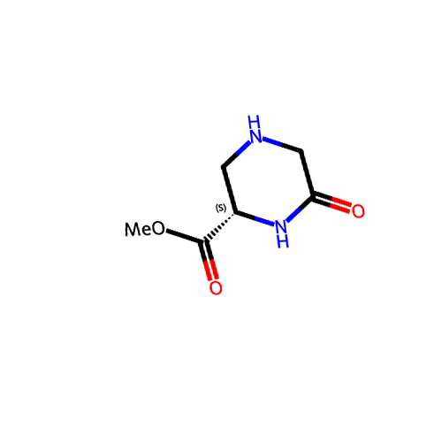 COC(=O)[C@@H]1CNCC(=O)N1